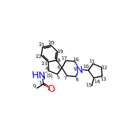 CC(=O)N[C@H]1CC2(CCN(C3CCCC3C)CC2)c2ccccc21